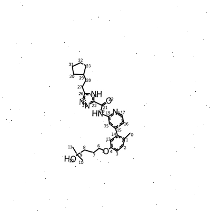 Cc1ccc(OCCCC(C)(C)O)cc1-c1ccnc(NC(=O)c2nnc(CCC3CCCC3)[nH]2)c1